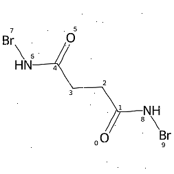 O=C(CCC(=O)NBr)NBr